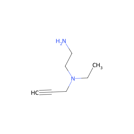 C#CCN(CC)CCN